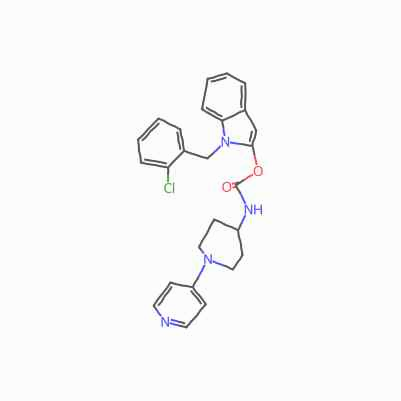 O=C(NC1CCN(c2ccncc2)CC1)Oc1cc2ccccc2n1Cc1ccccc1Cl